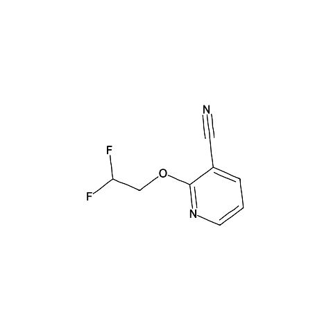 N#Cc1cccnc1OCC(F)F